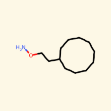 NOCCC1CCCCCCCCC1